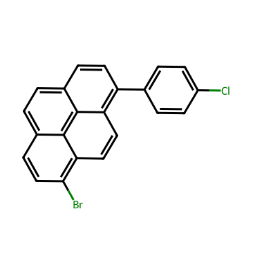 Clc1ccc(-c2ccc3ccc4ccc(Br)c5ccc2c3c45)cc1